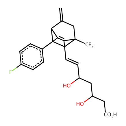 C=C1CC2(C(F)(F)F)CCC1C(c1ccc(F)cc1)=C2C=CC(O)CC(O)CC(=O)O